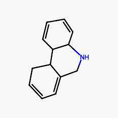 C1=CCC2C(=C1)CNC1C=CC=CC12